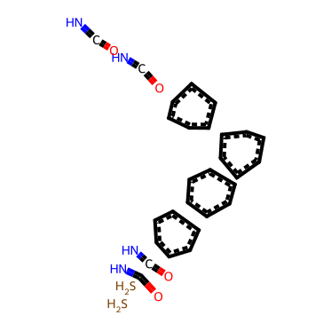 N=C=O.N=C=O.N=C=O.N=C=O.S.S.c1ccccc1.c1ccccc1.c1ccccc1.c1ccccc1